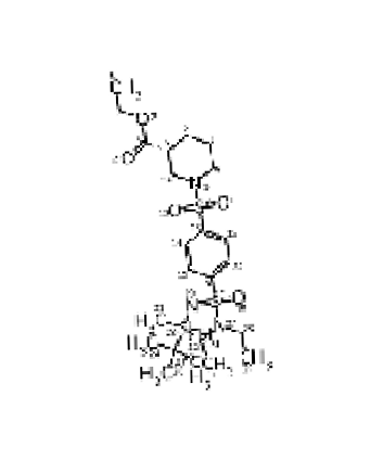 CCOC(=O)[C@@H]1CCCN(S(=O)(=O)c2ccc(S(=O)(=N[Si](C)(C)C(C)(C)C)N(CC)CC)cc2)C1